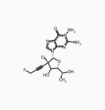 C[C@H](O)[C@H]1O[C@@H](n2cnc3c(=O)n(N)c(N)nc32)[C@@](Cl)(C#CCF)C1O